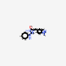 Cn1ncc2cc(/C=C3\N=C(NC4CCCCCCC4)NC3=O)ccc21